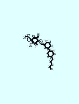 CCCCCC1CCC(C2CCCC(COc3c(C)cc(OCC)c(F)c3F)C2)CC1